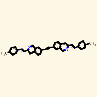 Cc1ccc(/C=C/c2cc3ccc(C#Cc4ccc5cc(/C=C/c6ccc(C)cc6)ncc5c4)cc3cn2)cc1